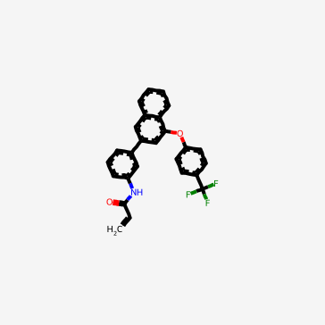 C=CC(=O)Nc1cccc(-c2cc(Oc3ccc(C(F)(F)F)cc3)c3ccccc3c2)c1